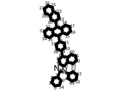 c1ccc(-c2nc3cc(-c4ccc(-c5c6ccccc6c(-c6ccc7ccccc7c6)c6ccccc56)cc4)c4ccccc4c3n2-c2ccccc2)cc1